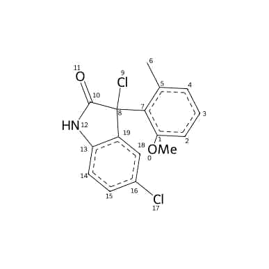 COc1cccc(C)c1C1(Cl)C(=O)Nc2ccc(Cl)cc21